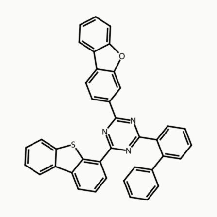 c1ccc(-c2ccccc2-c2nc(-c3ccc4c(c3)oc3ccccc34)nc(-c3cccc4c3sc3ccccc34)n2)cc1